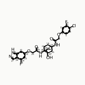 O=C(COc1ccc(Cl)c(F)c1)NC12CCC(NC(=O)COc3cc(F)c4cn[nH]c4c3)(CC1)C(O)C2